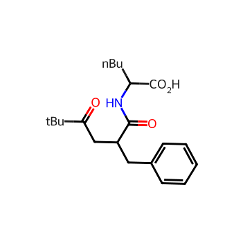 CCCCC(NC(=O)C(CC(=O)C(C)(C)C)Cc1ccccc1)C(=O)O